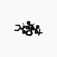 CCC(CC)[C@@H](Oc1ccccc1)[C@H](C)OC(=O)[C@H](C)NC(=O)OC(C)(C)C